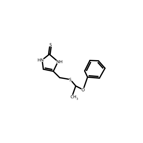 CC(Oc1ccccc1)SCc1c[nH]c(=S)[nH]1